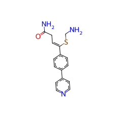 NCS/C(=C\CC(N)=O)c1ccc(-c2ccncc2)cc1